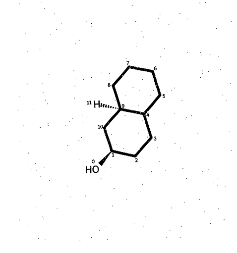 O[C@@H]1CCC2CCCC[C@@H]2C1